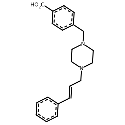 O=C(O)c1ccc(CN2CCN(C/C=C/c3ccccc3)CC2)cc1